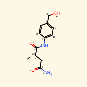 C[C@@H](CC(N)=O)C(=O)Nc1ccc(CO)cc1